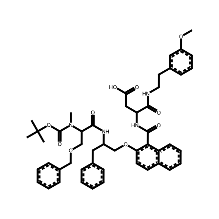 COc1cccc(CCNC(=O)C(CC(=O)O)NC(=O)c2c(OCC(Cc3ccccc3)NC(=O)C(COCc3ccccc3)N(C)C(=O)OC(C)(C)C)ccc3ccccc23)c1